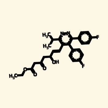 CCOC(=O)CC(=O)CC(O)C=Cc1c(C(C)C)nnc(-c2ccc(F)cc2)c1-c1ccc(F)cc1